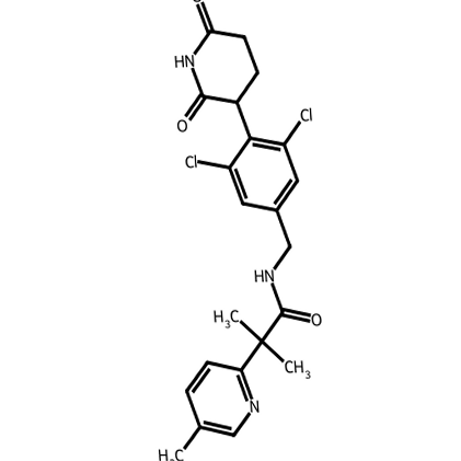 Cc1ccc(C(C)(C)C(=O)NCc2cc(Cl)c(C3CCC(=O)NC3=O)c(Cl)c2)nc1